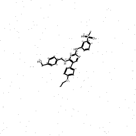 CCOc1ccc(-c2cnc(Nc3cccc(S(C)(=N)=O)c3)nc2NCc2ccc(CO)cc2)cc1